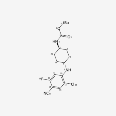 CC(C)(C)OC(=O)N[C@H]1CC[C@H](Nc2cc(F)c(C#N)cc2Cl)CC1